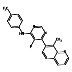 Cc1c(-c2ncnc(Nc3ccc(C(F)(F)F)cc3)c2F)ccc2cccnc12